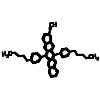 C#Cc1ccc2cc3c(-c4ccc(CCCCC)cc4)c4cc5ccccc5cc4c(-c4ccc(CCCCC)cc4)c3cc2c1